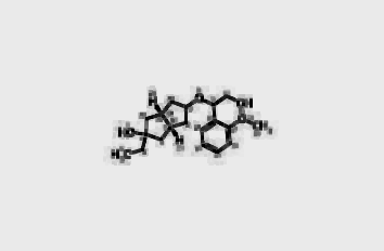 CCC1(O)C[C@H]2CC(OC(CO)c3ccccc3OC)C[C@H]2C1